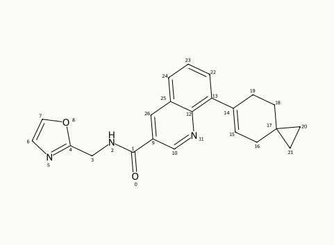 O=C(NCc1ncco1)c1cnc2c(C3=CCC4(CC3)CC4)cccc2c1